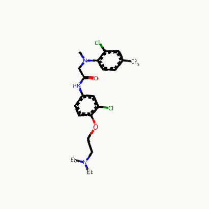 CCN(CC)CCOc1ccc(NC(=O)CN(C)c2ccc(C(F)(F)F)cc2Cl)cc1Cl